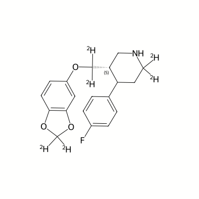 [2H]C1([2H])CC(c2ccc(F)cc2)[C@H](C([2H])([2H])Oc2ccc3c(c2)OC([2H])([2H])O3)CN1